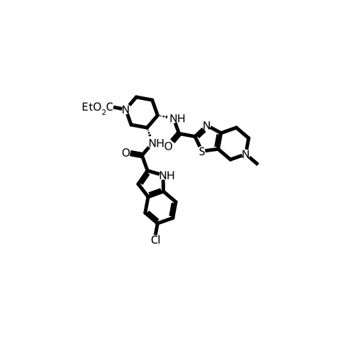 CCOC(=O)N1CC[C@H](NC(=O)c2nc3c(s2)CN(C)CC3)[C@H](NC(=O)c2cc3cc(Cl)ccc3[nH]2)C1